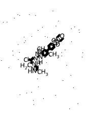 C=C(Nc1cc(C)[nH]n1)/C(Cl)=C\N=C(/N)Nc1cc(C)c(-c2ccc(S(=O)(=O)N3CCOCC3)cc2)cc1OC